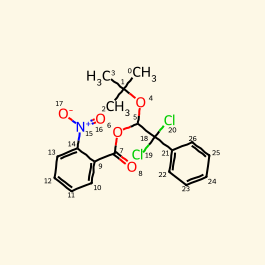 CC(C)(C)OC(OC(=O)c1ccccc1[N+](=O)[O-])C(Cl)(Cl)c1ccccc1